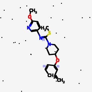 C=C/C=C(\C=C/C)OC1CCN(/C(=N/c2ccc(OC)nc2)SC)CC1